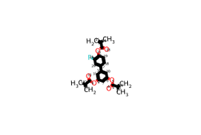 C=C(C)C(=O)Oc1cc(OC(=O)C(=C)C)cc(-c2ccc(OC(=O)C(=C)C)c(F)c2)c1